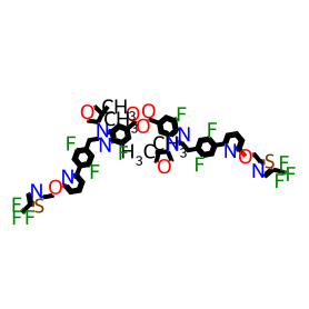 CC1(C)COCC1n1c(Cc2cc(F)c(-c3cccc(OCc4ncc(C(F)(F)F)s4)n3)cc2F)nc2c(F)cc(C(=O)OC(=O)c3cc(F)c4nc(Cc5cc(F)c(-c6cccc(OCc7ncc(C(F)(F)F)s7)n6)cc5F)n(C5COCC5(C)C)c4c3)cc21